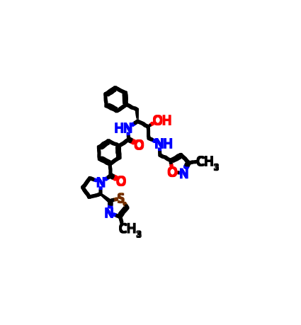 Cc1cc(CNC[C@H](O)[C@H](Cc2ccccc2)NC(=O)c2cccc(C(=O)N3CCC[C@@H]3c3nc(C)cs3)c2)on1